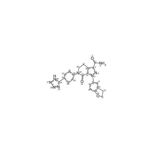 NC(=O)c1nn(-c2ccc3c(c2)CCO3)c2c1CCN(c1ccc(-c3nnn[nH]3)cc1)C2=O